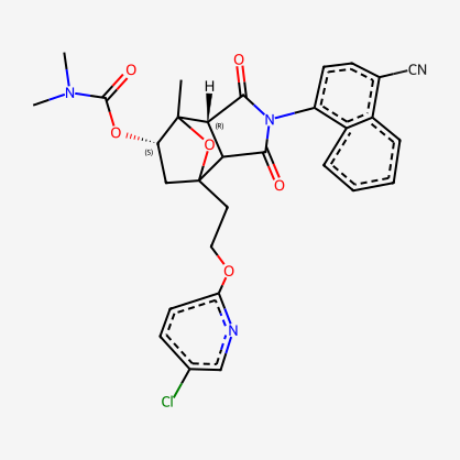 CN(C)C(=O)O[C@H]1CC2(CCOc3ccc(Cl)cn3)OC1(C)[C@@H]1C(=O)N(c3ccc(C#N)c4ccccc34)C(=O)C12